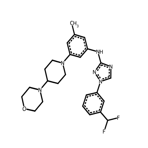 Cc1cc(Nc2ncn(-c3cccc(C(F)F)c3)n2)cc(N2CCC(N3CCOCC3)CC2)c1